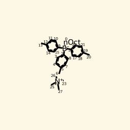 CCCCCCCC[B-](c1ccc(C)cc1)(c1ccc(C)cc1)c1ccc(C)cc1.C[N+](C)(C)C